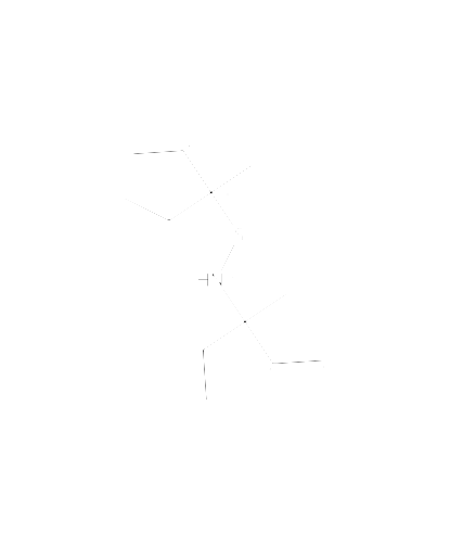 CCC(C)(CC)NSC(C)(CC)CC